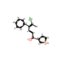 CC(Br)=C(C=CC(=O)c1ccsc1)c1ccccc1